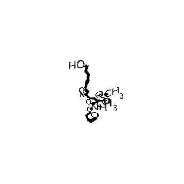 CC(CCc1cc(C#CCCCO)on1)(C(=O)NOC1CCCCO1)S(C)(=O)=O